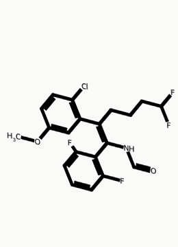 COc1ccc(Cl)c(/C(CCCC(F)F)=C(/NC=O)c2c(F)cccc2F)c1